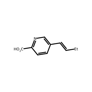 CCC=Cc1ccc(C(=O)O)nc1